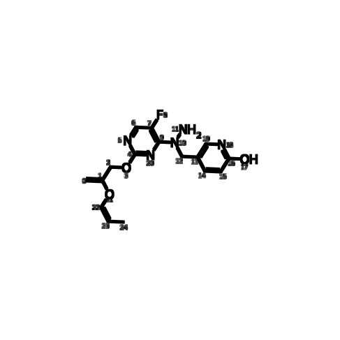 C=C(COc1ncc(F)c(N(N)Cc2ccc(O)nc2)n1)O/C=C\C